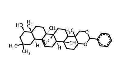 CC1(C)C[C@@H](O)[C@]2(C)CC[C@]3(C)C(=CC[C@@H]4[C@@]5(C)CCC6OC(c7ccccc7)OC[C@@]6(C)C5CC[C@]43C)[C@H]2C1